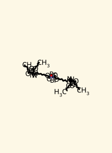 CCCCOC(=O)c1nnn(CCCCCCOC(=O)/C(Br)=C(\Br)C(=O)OCCCCCCn2nnc(C(=O)OCCCC)c2C(=O)OCCCC)c1C(=O)OCCCC